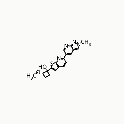 CO[C@H]1CC[C@]1(O)c1cc2ccc(-c3cnc4nn(C)cc4c3)nc2s1